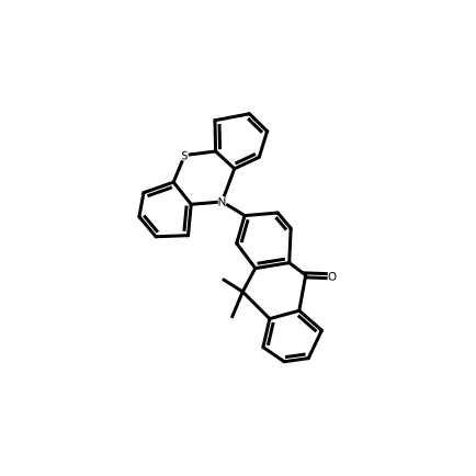 CC1(C)c2ccccc2C(=O)c2ccc(N3c4ccccc4Sc4ccccc43)cc21